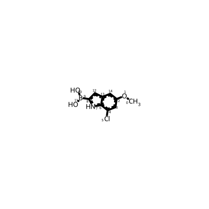 COc1cc(Cl)c2[nH]c(B(O)O)cc2c1